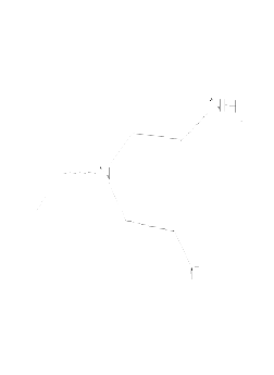 CCN(CCN)CCF